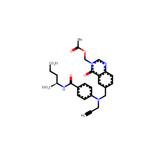 C#CCN(Cc1ccc2ncn(COC(=O)C(C)(C)C)c(=O)c2c1)c1ccc(C(=O)N[C@H](CCC(=O)OCC)C(=O)OCC)cc1